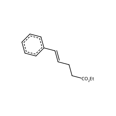 CCOC(=O)CCC=Cc1ccccc1